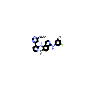 CNc1cc(-c2cccnc2Nc2c(C)ccc3c(Nc4cc(F)cc(C#N)c4)nccc23)ncn1